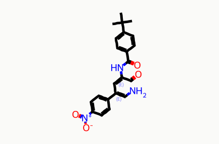 CC(C)(C)c1ccc(C(=O)N/C(C=O)=C/C(=C\N)c2ccc([N+](=O)[O-])cc2)cc1